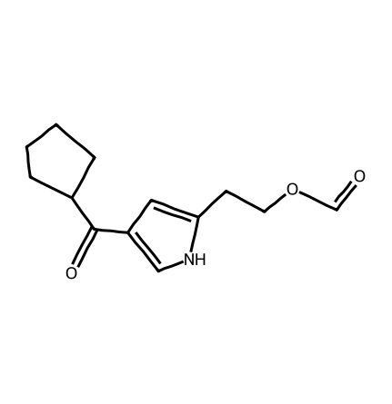 O=COCCc1cc(C(=O)C2CCCC2)c[nH]1